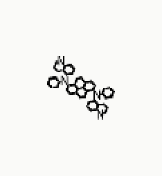 c1ccc(N(c2cccc3ncccc23)c2ccc3ccc4c(N(c5ccccc5)c5cccc6ncccc56)ccc5ccc2c3c54)cc1